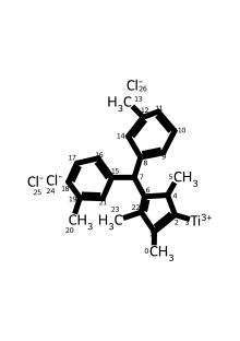 CC1=[C]([Ti+3])C(C)C(C(c2cccc(C)c2)c2cccc(C)c2)=C1C.[Cl-].[Cl-].[Cl-]